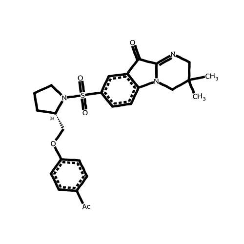 CC(=O)c1ccc(OC[C@@H]2CCCN2S(=O)(=O)c2ccc3c(c2)C(=O)C2=NCC(C)(C)CN23)cc1